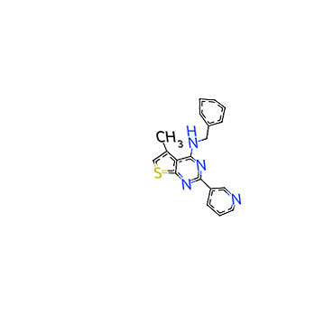 Cc1csc2nc(-c3cccnc3)nc(NCc3ccccc3)c12